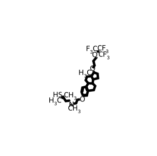 CN(CCOc1ccc2c(c1)CCC1C2CCC2(C)C(OCCCOC(C(F)(F)F)(C(F)(F)F)C(F)(F)F)CCC12)CCC(C)(C)S